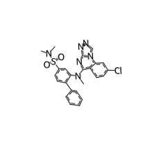 CN(c1cc(S(=O)(=O)N(C)C)ccc1-c1ccccc1)c1nc2nncn2c2cc(Cl)ccc12